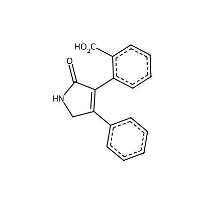 O=C1NCC(c2ccccc2)=C1c1ccccc1C(=O)O